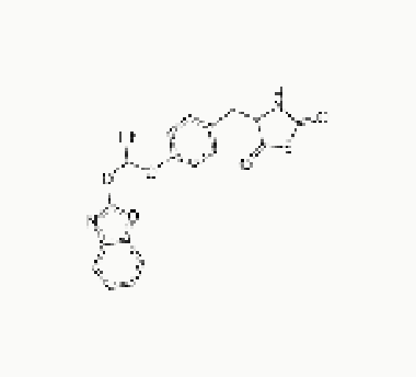 CCC(Oc1ccc(CC2NC(=O)SC2=O)cc1)Oc1nc2ccccc2o1